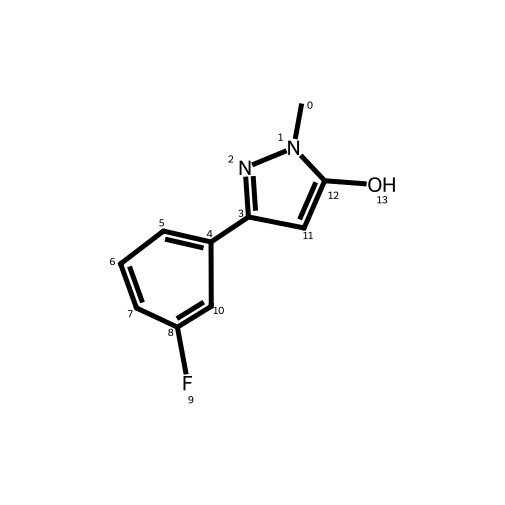 Cn1nc(-c2cccc(F)c2)cc1O